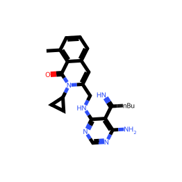 CCCCC(=N)c1c(N)ncnc1NCc1cc2cccc(C)c2c(=O)n1C1CC1